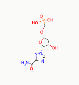 NC(=O)c1ncn([C@@H]2O[C@H](OCP(=O)(O)O)C[C@H]2O)n1